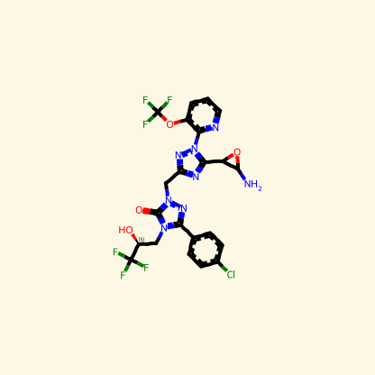 NC1OC1c1nc(Cn2nc(-c3ccc(Cl)cc3)n(C[C@H](O)C(F)(F)F)c2=O)nn1-c1ncccc1OC(F)(F)F